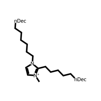 CCCCCCCCCCCCCCCCn1cc[n+](C)c1CCCCCCCCCCCCCCC